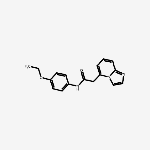 O=C(Cc1cccc2nccn12)Nc1ccc(OCC(F)(F)F)cc1